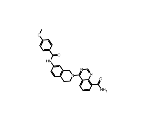 COc1ccc(C(=O)Nc2ccc3c(c2)CN(c2ncnc4c(C(N)=O)cccc24)CC3)cc1